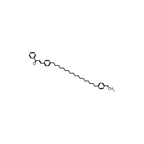 C=Cc1ccc(CCCCCCCCCCCCCCCCCCc2ccc(C=CC(=O)c3ccccc3)cc2)cc1